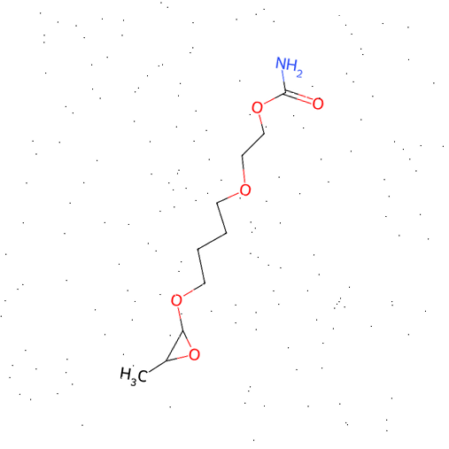 CC1OC1OCCCCOCCOC(N)=O